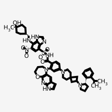 CC(C)c1ccccc1[C@@H]1CCCN1C1CC2(CCN(c3ccc(C(=O)NS(=O)(=O)c4cc([N+](=O)[O-])c(NC[C@H]5CC[C@](C)(O)CC5)c5[nH]cnc45)c(N4CCCOc5nc6[nH]ccc6cc54)c3)CC2)C1